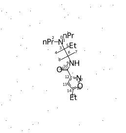 CCCN(CCC)C(C)(CC)C(C)(C)NC(=O)c1cc(CC)on1